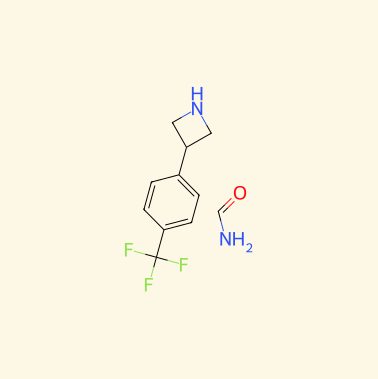 FC(F)(F)c1ccc(C2CNC2)cc1.NC=O